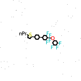 CCCc1ccc(-c2ccc(-c3cc(F)c(C(F)(F)Oc4cc(F)c(F)c(F)c4)c(F)c3)cc2)s1